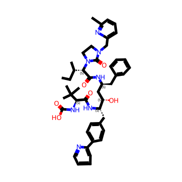 CCC(C)[C@@H](C(=O)N[C@@H](Cc1ccccc1)C[C@H](O)[C@H](Cc1ccc(-c2ccccn2)cc1)NC(=O)[C@@H](NC(=O)O)C(C)(C)C)N1CCN(Cc2cccc(C)n2)C1=O